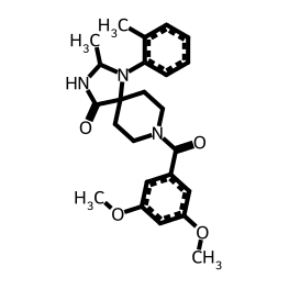 COc1cc(OC)cc(C(=O)N2CCC3(CC2)C(=O)NC(C)N3c2ccccc2C)c1